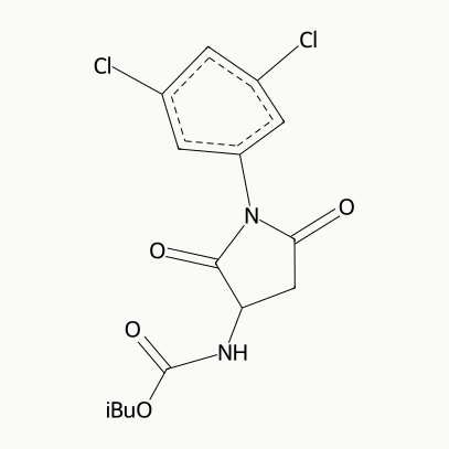 CC(C)COC(=O)NC1CC(=O)N(c2cc(Cl)cc(Cl)c2)C1=O